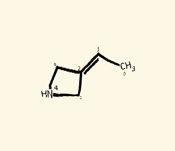 CC=C1CNC1